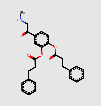 CC(C)(C)NCC(=O)c1ccc(OC(=O)CCc2ccccc2)c(OC(=O)CCc2ccccc2)c1